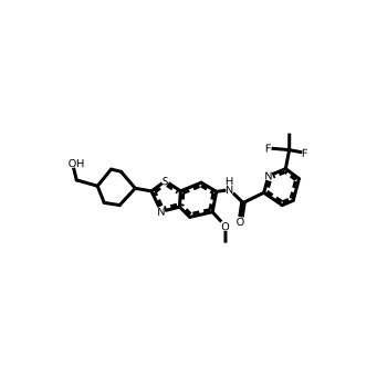 COc1cc2nc(C3CCC(CO)CC3)sc2cc1NC(=O)c1cccc(C(C)(F)F)n1